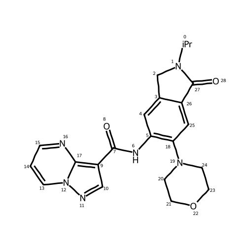 CC(C)N1Cc2cc(NC(=O)c3cnn4cccnc34)c(N3CCOCC3)cc2C1=O